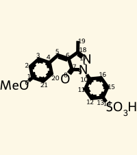 COc1ccc(/C=C2\C(=O)N(c3ccc(S(=O)(=O)O)cc3)N=C2C)cc1